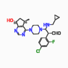 C[C@@H]1C[C@@H](O)c2ncnc(N3CCN(C(NCC4CC4)C(C=O)c4ccc(Cl)cc4F)CC3)c21